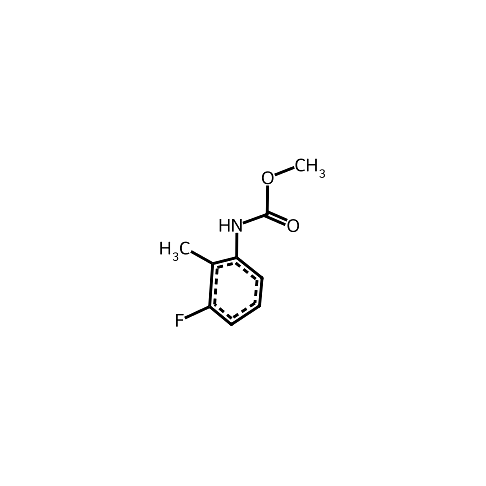 COC(=O)Nc1cccc(F)c1C